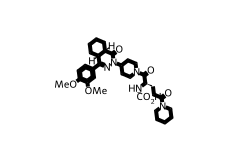 COc1ccc(C2=NN(C3CCN(C(=O)[C@H](CCC(=O)N4CCCCC4)NC(=O)O)CC3)C(=O)[C@@H]3CCCC[C@H]23)cc1OC